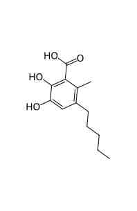 CCCCCc1cc(O)c(O)c(C(=O)O)c1C